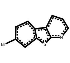 Brc1ccc2c(c1)sc1ncccc12